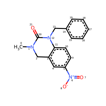 CN1Cc2cc([N+](=O)[O-])ccc2N(Cc2ccccc2)C1=O